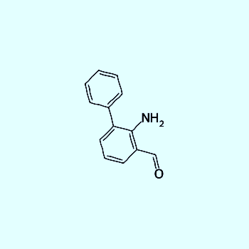 Nc1c(C=O)cccc1-c1ccccc1